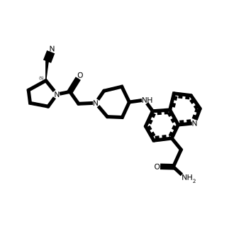 N#C[C@@H]1CCCN1C(=O)CN1CCC(Nc2ccc(CC(N)=O)c3ncccc23)CC1